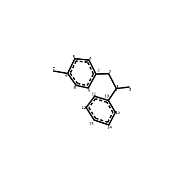 C[C](Cc1ccc(C)cc1)c1ccccc1